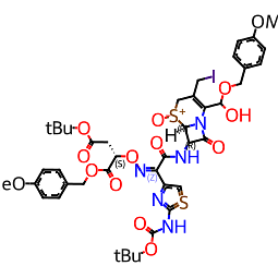 COc1ccc(COC(=O)[C@H](CC(=O)OC(C)(C)C)O/N=C(\C(=O)N[C@@H]2C(=O)N3C(C(O)OCc4ccc(OC)cc4)=C(CI)C[S+]([O-])[C@H]23)c2csc(NC(=O)OC(C)(C)C)n2)cc1